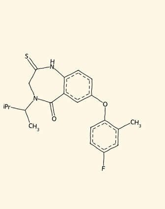 Cc1cc(F)ccc1Oc1ccc2c(c1)C(=O)N(C(C)C(C)C)CC(=S)N2